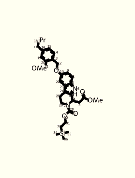 COC(=O)CC1c2[nH]c3ccc(OCc4ccc(CC(C)C)cc4OC)cc3c2CCN1C(=O)OCC[Si](C)(C)C